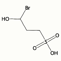 O=S(=O)(O)CCC(O)Br